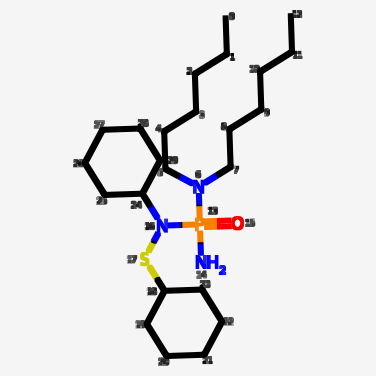 CCCCCCN(CCCCCC)P(N)(=O)N(SC1CCCCC1)C1CCCCC1